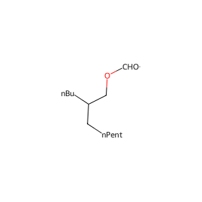 CCCCCCC(CCCC)CO[C]=O